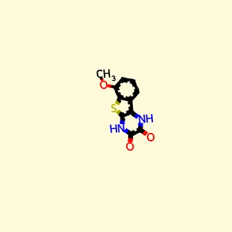 COc1cccc2c1sc1[nH]c(=O)c(=O)[nH]c12